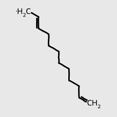 [CH2]C=CCCCCCCCC=C